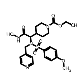 CCOC(=O)N1CCC(C(C(=O)NO)N(Cc2ccncc2)S(=O)(=O)c2ccc(OC)cc2)CC1